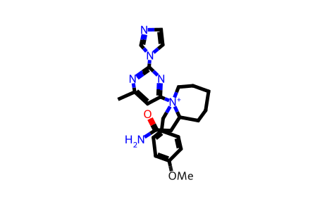 COc1ccc(C[N+]2(c3cc(C)nc(-n4ccnc4)n3)CCCCCC2CC(N)=O)cc1